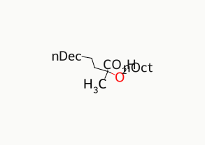 CCCCCCCCCCCCC(C)(OCCCCCCCC)C(=O)O